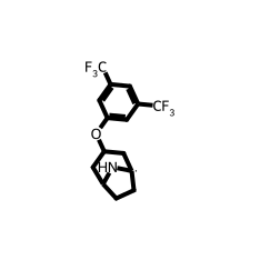 FC(F)(F)c1cc(OC2C[C]3CCC(C2)N3)cc(C(F)(F)F)c1